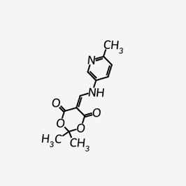 Cc1ccc(NC=C2C(=O)OC(C)(C)OC2=O)cn1